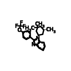 C[C@@H]1C[C@H](n2c(-c3ccc(OC(F)(F)F)cc3)nc3ccccc32)CC(C)(C)C1